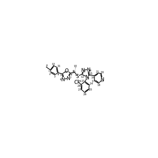 Cc1ccc(-c2nnc([C@H](C)Sc3nnc(-c4ccncc4)n3-c3ccccc3Cl)o2)cc1